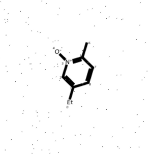 CCc1[c][n+]([O-])c(C)cc1